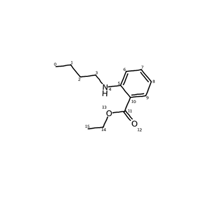 CCCCNc1ccccc1C(=O)OCC